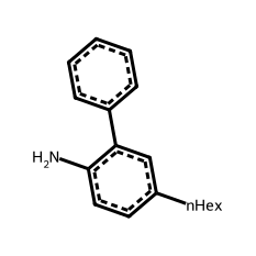 CCCCCCc1ccc(N)c(-c2ccccc2)c1